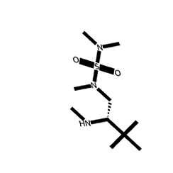 CN[C@H](CN(C)S(=O)(=O)N(C)C)C(C)(C)C